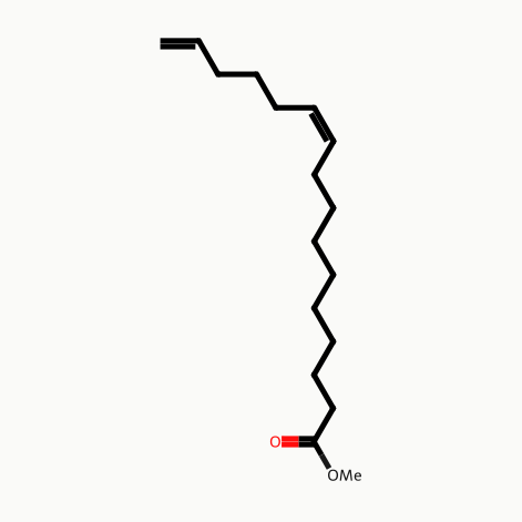 C=CCCC/C=C\CCCCCCCCC(=O)OC